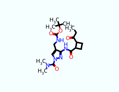 CCC(=O)C1CCC1C(=O)Nc1nn(C(=O)N(C)C)cc1CNC(=O)OC(C)(C)C